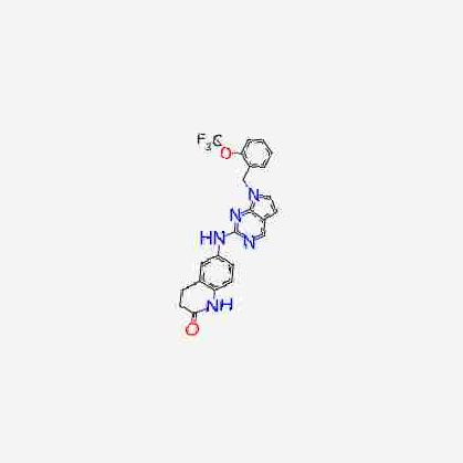 O=C1CCc2cc(Nc3ncc4ccn(Cc5ccccc5OC(F)(F)F)c4n3)ccc2N1